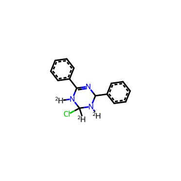 [2H]N1C(c2ccccc2)=NC(c2ccccc2)N([2H])C1([2H])Cl